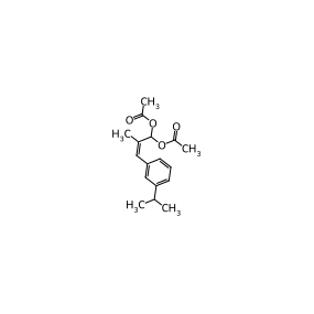 CC(=O)OC(OC(C)=O)C(C)=Cc1cccc(C(C)C)c1